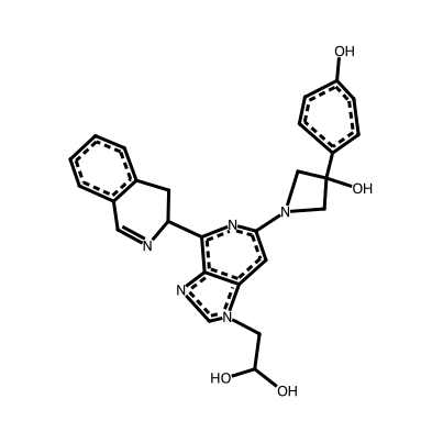 Oc1ccc(C2(O)CN(c3cc4c(ncn4CC(O)O)c(C4Cc5ccccc5C=N4)n3)C2)cc1